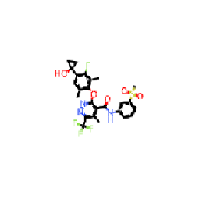 Cc1cc(C2(O)CC2)c(F)c(C)c1Oc1nnc(C(F)(F)F)c(C)c1C(=O)Nc1cccc(S(C)(=O)=O)c1